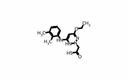 CCOC1=NN(CC(=O)S)NC(Nc2cccc(C)c2C)=C1